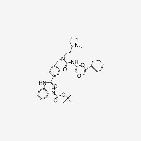 CN1CCCC1CCN(Cc1ccc(C(=O)Nc2ccccc2NC(=O)OC(C)(C)C)cc1)C(=O)NC1=COC=C(C2=CC=CCC2)O1